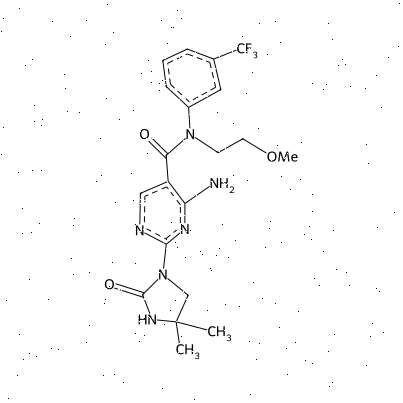 COCCN(C(=O)c1cnc(N2CC(C)(C)NC2=O)nc1N)c1cccc(C(F)(F)F)c1